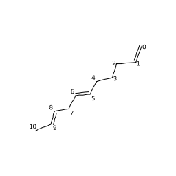 C=CCCC/C=C/C/C=C/C